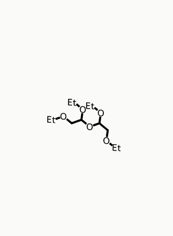 CCOCC(OCC)OC(COCC)OCC